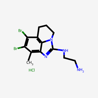 Cc1c(Br)c(Br)c2c3c1nc(NCCN)n3CCC2.Cl